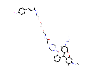 C=C(/C=C/c1ccc(N=O)cc1)NCCOCCOCCNC(=O)CN1CCN(C(=O)c2ccccc2-c2c3cc(C)/c(=N/CC)cc-3oc3cc(NCN)c(C)cc23)CC1